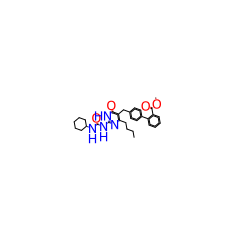 CCCCc1nc(NC(=O)NC2CCCCC2)[nH]c(=O)c1Cc1ccc(-c2ccccc2C(=O)OC)cc1